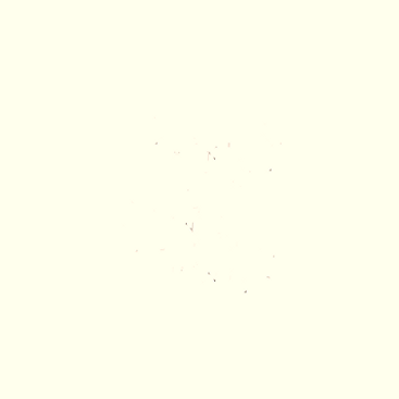 O=c1[nH]c2ccccc2c2c3cc4c5ccccc5n(-c5ccccc5)c4cc3n(-c3ccccc3)c12